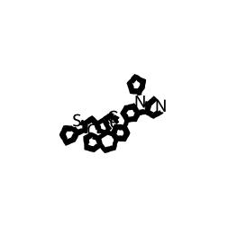 C1=Cc2ccc(-c3ccc4c(c3)c3ccncc3n4-c3ccccc3)cc2C2(c3ccccc31)c1ccccc1-c1cc3sc4ccccc4c3cc12